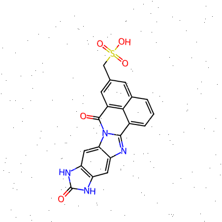 O=c1[nH]c2cc3nc4c5cccc6cc(CS(=O)(=O)O)cc(c(=O)n4c3cc2[nH]1)c65